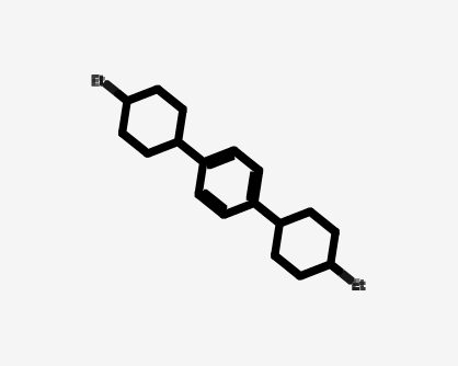 CCC1CCC(c2ccc(C3CCC(CC)CC3)cc2)CC1